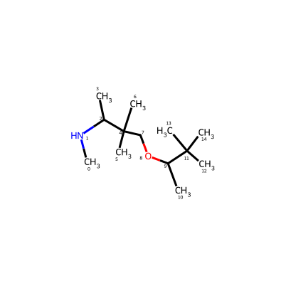 CNC(C)C(C)(C)COC(C)C(C)(C)C